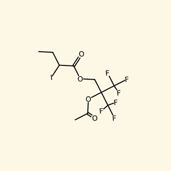 CCC(I)C(=O)OCC(OC(C)=O)(C(F)(F)F)C(F)(F)F